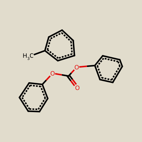 Cc1ccccc1.O=C(Oc1ccccc1)Oc1ccccc1